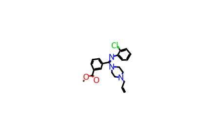 C=CCN1CCN(/C(=N\c2ccccc2Cl)c2cccc(C(=O)OC)c2)CC1